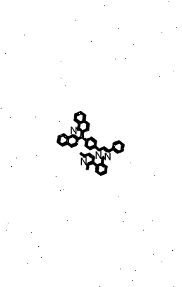 Cc1ccc(-c2ccccc2-c2nc(-c3ccccc3)cc(-c3ccc(-c4c5ccc6ccccc6c5nc5c4ccc4ccccc45)cc3)n2)c(C)n1